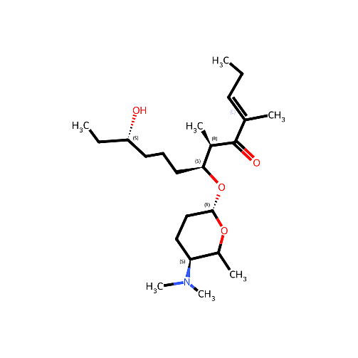 CC/C=C(\C)C(=O)[C@H](C)[C@H](CCC[C@@H](O)CC)O[C@H]1CC[C@H](N(C)C)C(C)O1